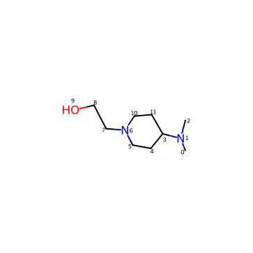 CN(C)C1CCN(CCO)CC1